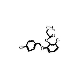 CCC(=O)Oc1c(Cl)cccc1OCc1ccc(Cl)cc1